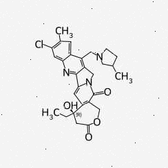 CC[C@@]1(O)CC(=O)OCc2c1cc1n(c2=O)Cc2c-1nc1cc(Cl)c(C)cc1c2CN1CCC(C)C1